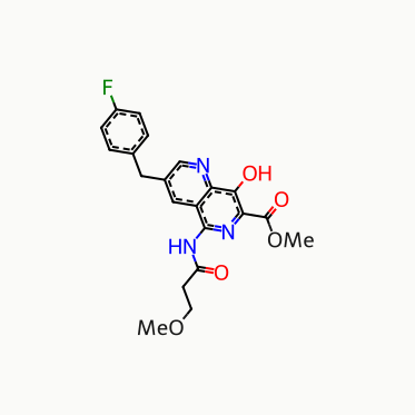 COCCC(=O)Nc1nc(C(=O)OC)c(O)c2ncc(Cc3ccc(F)cc3)cc12